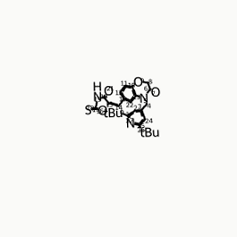 CC(C)(C)c1cc(CN2C(=O)COc3ccc(C=C4OC(=S)NC4=O)cc32)cc(C(C)(C)C)n1